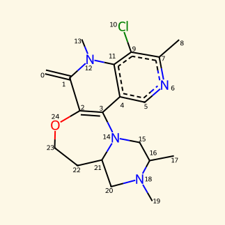 C=C1C2=C(c3cnc(C)c(Cl)c3N1C)N1CC(C)N(C)CC1CCO2